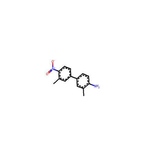 Cc1cc(-c2ccc([N+](=O)[O-])c(C)c2)ccc1N